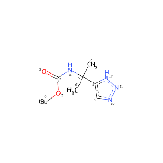 CC(C)(C)OC(=O)NC(C)(C)c1cnn[nH]1